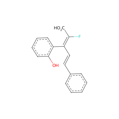 O=C(O)C(F)=C(C=Cc1ccccc1)c1ccccc1O